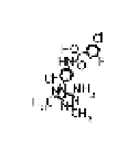 Cc1nc(N)c2c(n1)c(C)nn2-c1ccc(NC(=O)C(O)c2cc(F)cc(Cl)c2)cc1Cl